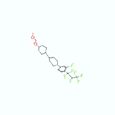 COCOC1CCC(C2CCC(c3ccc(C(F)(F)C(F)C(F)(F)F)c(F)c3)CC2)CC1